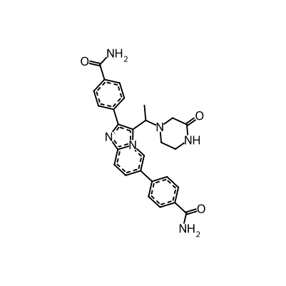 CC(c1c(-c2ccc(C(N)=O)cc2)nc2ccc(-c3ccc(C(N)=O)cc3)cn12)N1CCNC(=O)C1